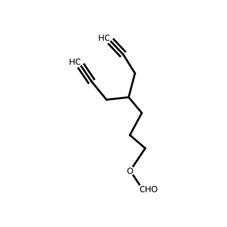 C#CCC(CC#C)CCCOC=O